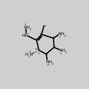 BNC1=C(C)C(N)C(N)C(N)[C@@H]1N